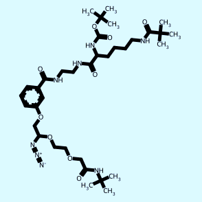 CC(C)(C)NC(=O)COCCOC(COc1cccc(C(=O)NCCNC(=O)C(CCCCNC(=O)C(C)(C)C)NC(=O)OC(C)(C)C)c1)N=[N+]=[N-]